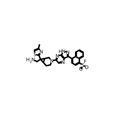 Cc1csc(C2(CN)C3CCN(c4cnc5c(-c6ccc(S(=O)(=O)F)c7ccccc67)n[nH]c5n4)CC32)n1